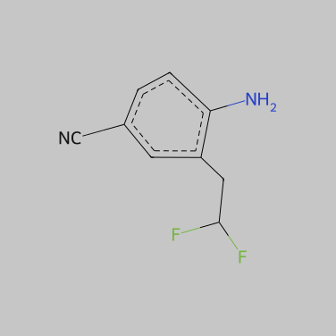 N#Cc1ccc(N)c(CC(F)F)c1